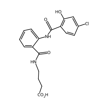 O=C(O)CCCNC(=O)c1ccccc1NC(=O)c1ccc(Cl)cc1O